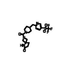 O=C1CCC2(CN(C(=O)N3CCC(Cc4ccc(S(=O)(=O)C(F)(F)F)cn4)CC3)C2)N1